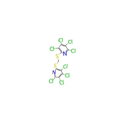 Clc1nc(SCSc2nc(Cl)c(Cl)c(Cl)c2Cl)c(Cl)c(Cl)c1Cl